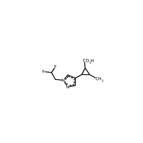 CC1C(C(=O)O)C1c1cnn(CC(F)F)c1